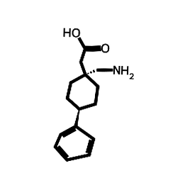 NC[C@]1(CC(=O)O)CC[C@@H](c2ccccc2)CC1